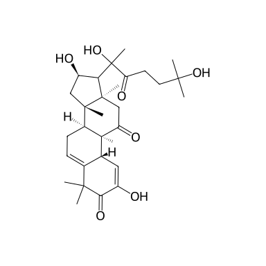 CC(C)(O)CCC(=O)C(C)(O)C1[C@H](O)C[C@@]2(C)[C@@H]3CC=C4[C@@H](C=C(O)C(=O)C4(C)C)[C@]3(C)C(=O)C[C@]12C